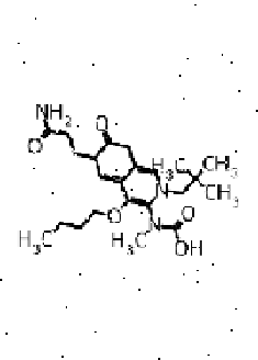 CCCCOC1=C(N(C)C(=O)O)N(CC(C)(C)C)C=C2CC(=O)C(CCC(N)=O)C=C21